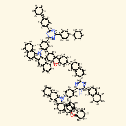 c1ccc(-c2ccc(-c3nc(-c4ccc(-c5ccccc5)cc4)nc(-c4ccc(-n5c6cc7ccccc7cc6c6ccc7ccccc7c65)c(-c5ccc6oc7cc(-c8ccc9ccc(C%10=NC(c%11ccc(-n%12c%13cc%14ccccc%14cc%13c%13ccc%14ccccc%14c%13%12)c(-c%12ccc%13oc%14ccccc%14c%13c%12)c%11)NC(c%11ccc%12ccccc%12c%11)=N%10)cc9c8)ccc7c6c5)c4)n3)cc2)cc1